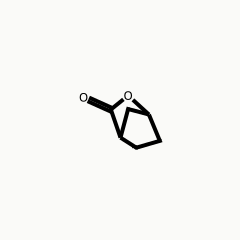 O=C1OC2C[CH]C1C2